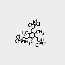 Cc1c(CC[Si](Cl)(Cl)Cl)c(C)c(CC[Si](Cl)(Cl)Cl)c(C)c1CC[Si](Cl)(Cl)Cl